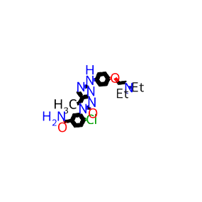 CCN(CC)CCOc1ccc(Nc2ncc3c(C)n(-c4cc(C(N)=O)ccc4Cl)c(=O)nc3n2)cc1